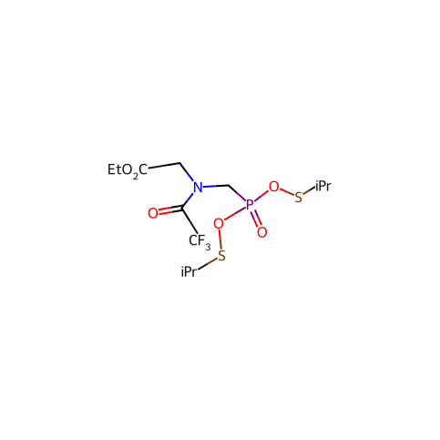 CCOC(=O)CN(CP(=O)(OSC(C)C)OSC(C)C)C(=O)C(F)(F)F